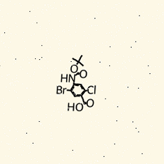 CC(C)(C)OC(=O)Nc1cc(Cl)c(C(=O)O)cc1Br